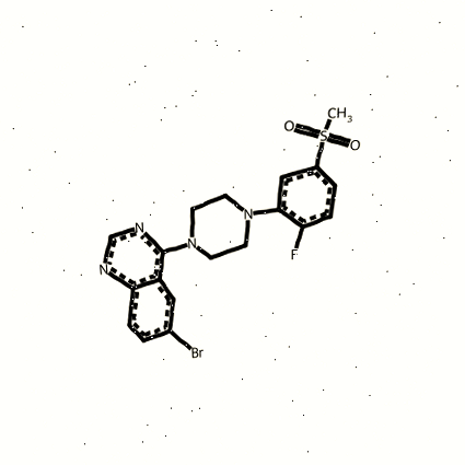 CS(=O)(=O)c1ccc(F)c(N2CCN(c3ncnc4ccc(Br)cc34)CC2)c1